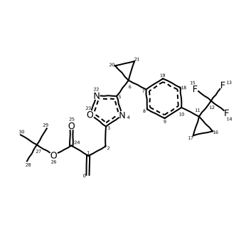 C=C(Cc1nc(C2(c3ccc(C4(C(F)(F)F)CC4)cc3)CC2)no1)C(=O)OC(C)(C)C